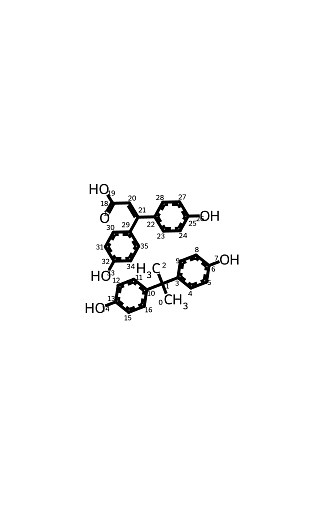 CC(C)(c1ccc(O)cc1)c1ccc(O)cc1.O=C(O)C=C(c1ccc(O)cc1)c1ccc(O)cc1